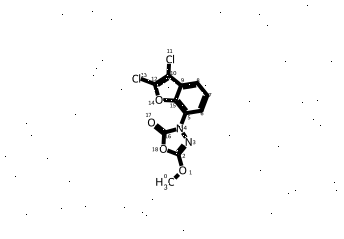 COc1nn(-c2cccc3c(Cl)c(Cl)oc23)c(=O)o1